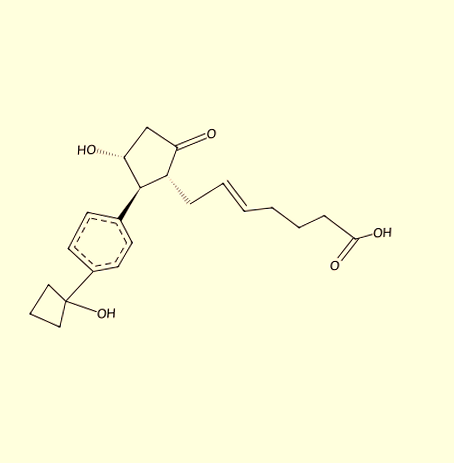 O=C(O)CCCC=CC[C@H]1C(=O)C[C@@H](O)[C@@H]1c1ccc(C2(O)CCC2)cc1